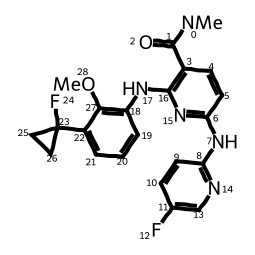 CNC(=O)c1ccc(Nc2ccc(F)cn2)nc1Nc1cccc(C2(F)CC2)c1OC